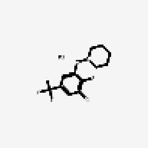 Cl.Fc1c(Cl)cc(C(F)(F)F)cc1ON1CCCCC1